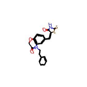 O=C1NC(=S)S/C1=C/c1ccc2c(c1)N(CCc1ccccc1)C(=O)CO2